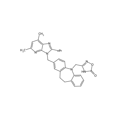 CCCc1nc2c(C)cc(C)nc2n1Cc1ccc2c(c1)CCc1ccccc1N2Cc1noc(=O)[nH]1